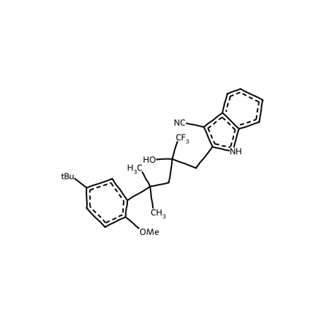 COc1ccc(C(C)(C)C)cc1C(C)(C)CC(O)(Cc1[nH]c2ccccc2c1C#N)C(F)(F)F